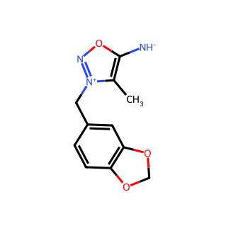 Cc1c([NH-])on[n+]1Cc1ccc2c(c1)OCO2